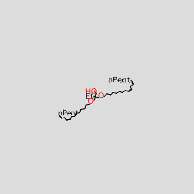 CCCCC/C=C\C/C=C\CCCCCCCCOCC(CC)(CO)COCCCCCCCC/C=C\C/C=C\CCCCC